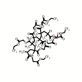 CCC(C)(CC(C)(CC(C)(CC(C)(CC(C)(CC(C)(CC(C)C(=O)OCC(=O)OCC(F)(F)F)C(=O)OCC(=O)OCC(F)(F)F)C(=O)OCC(=O)OCC(F)(F)F)C(=O)OCC(=O)OCC(F)(F)F)C(=O)OCC(=O)OCC(F)(F)F)C(=O)OCC(=O)OCC(F)(F)F)C(=O)OCC(=O)OCC(F)(F)F